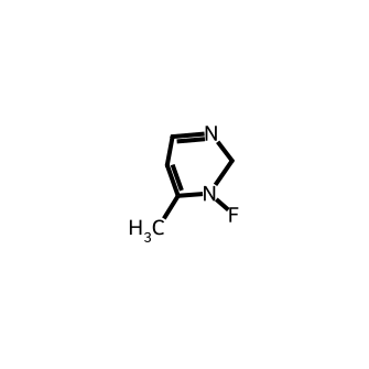 CC1=CC=NCN1F